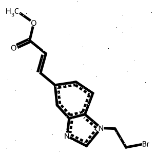 COC(=O)C=Cc1ccc2c(c1)ncn2CCBr